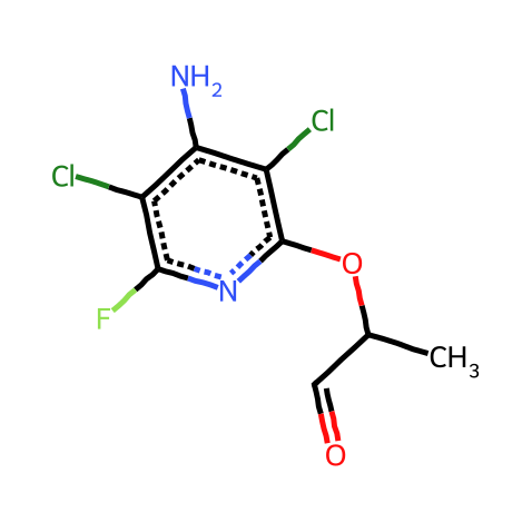 CC(C=O)Oc1nc(F)c(Cl)c(N)c1Cl